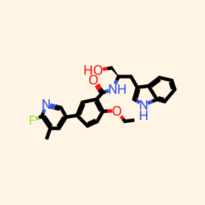 CCOc1ccc(-c2cnc(F)c(C)c2)cc1C(=O)N[C@@H](CO)Cc1c[nH]c2ccccc12